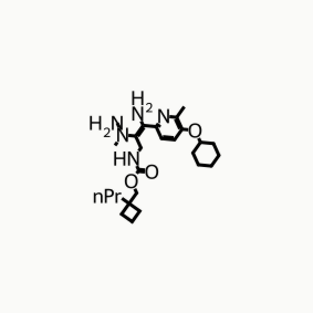 CCCC1(COC(=O)NC/C(=C(/N)c2ccc(OC3CCCCC3)c(C)n2)N(C)N)CCC1